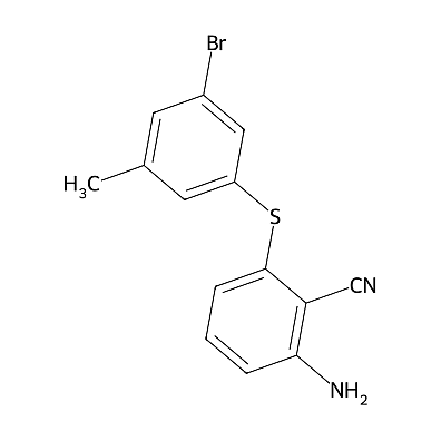 Cc1cc(Br)cc(Sc2cccc(N)c2C#N)c1